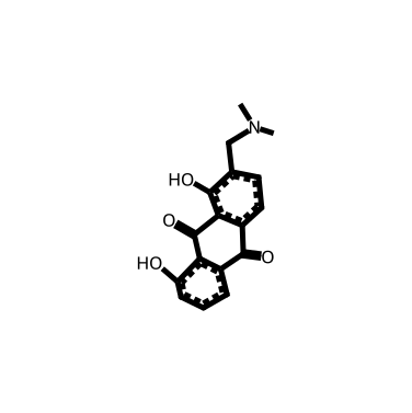 CN(C)Cc1ccc2c(c1O)C(=O)c1c(O)cccc1C2=O